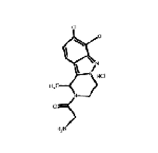 CC1c2c3ccc(Cl)c(Cl)c3nn2CCN1C(=O)CN.Cl